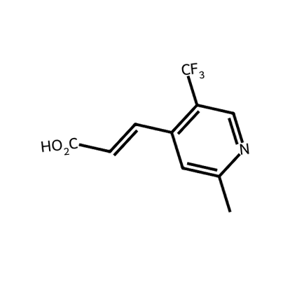 Cc1cc(/C=C/C(=O)O)c(C(F)(F)F)cn1